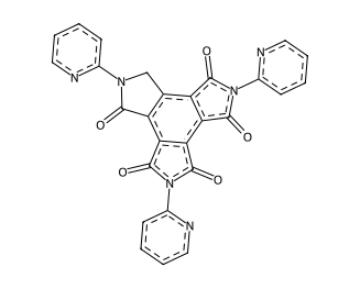 O=C1c2c(c3c(=O)n(-c4ccccn4)c(=O)c3c3c(=O)n(-c4ccccn4)c(=O)c23)CN1c1ccccn1